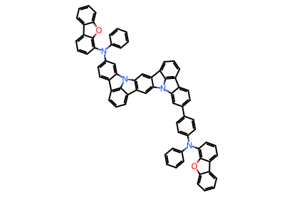 c1ccc(N(c2ccc(-c3ccc4c5cccc6c7cc8c(cc7n(c4c3)c56)c3cccc4c5ccc(N(c6ccccc6)c6cccc7c6oc6ccccc67)cc5n8c43)cc2)c2cccc3c2oc2ccccc23)cc1